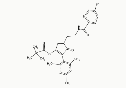 Cc1cc(C)c(C2=C(OC(=O)C(C)(C)C)CC(CCNC(=O)c3ccc(Br)cn3)C2=O)c(C)c1